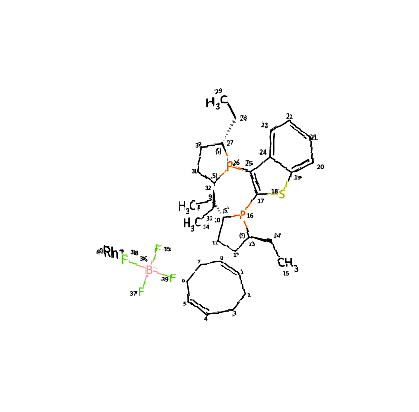 C1=CCCC=CCC1.CC[C@H]1CC[C@H](CC)P1c1sc2ccccc2c1P1[C@@H](CC)CC[C@@H]1CC.F[B-](F)(F)F.[Rh+]